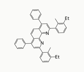 CCc1cccc(-c2cc(-c3ccccc3)c3ccc4c(-c5ccccc5)cc(-c5cccc(CC)c5C)nc4c3n2)c1C